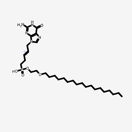 CCCCCCCCCCCCCCCCCCOCCOP(=O)(O)CC/C=C/Cn1cnc2c(=O)[nH]c(N)nc21